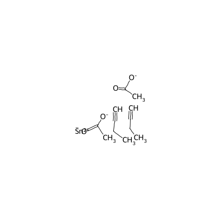 C#CCC.C#CCC.CC(=O)[O-].CC(=O)[O-].[Sn+2]